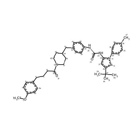 COc1ccc(CCCC(=O)N2CCC(Cc3ccc(NC(=O)Nc4cc(C(C)(C)C)nn4-c4ccc(C)cc4)cc3)CC2)cc1